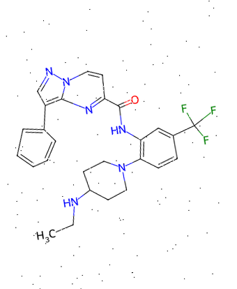 CCNC1CCN(c2ccc(C(F)(F)F)cc2NC(=O)c2ccn3ncc(-c4ccccc4)c3n2)CC1